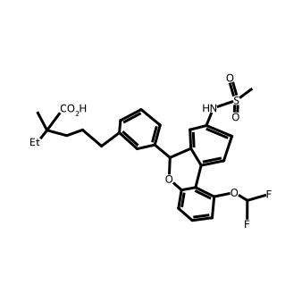 CCC(C)(CCCc1cccc(C2Oc3cccc(OC(F)F)c3-c3ccc(NS(C)(=O)=O)cc32)c1)C(=O)O